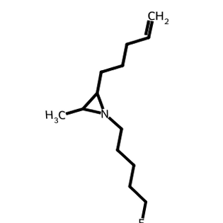 C=CCCCC1C(C)N1CCCCCF